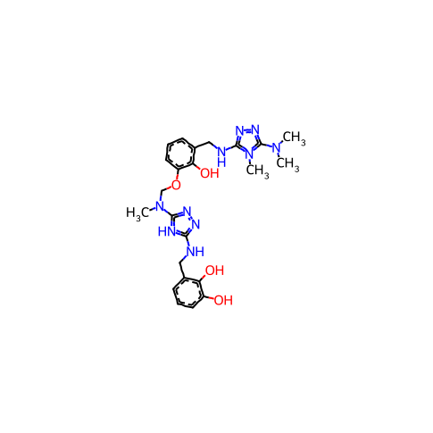 CN(C)c1nnc(NCc2cccc(OCN(C)c3nnc(NCc4cccc(O)c4O)[nH]3)c2O)n1C